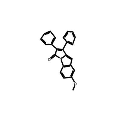 COc1ccc2c(c1)cc1n2C(=O)C(c2ccccc2)=C1c1ccccc1